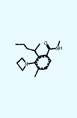 CCCC(C)c1c(C(=O)NC)ccc(C)c1N1CCC1